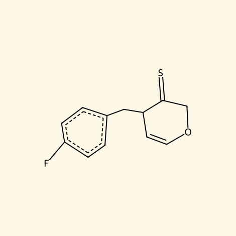 Fc1ccc(CC2C=COCC2=S)cc1